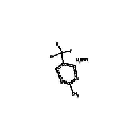 Cc1ncc(C(F)(F)F)cn1.Cl.N